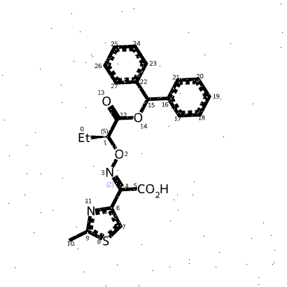 CC[C@H](O/N=C(\C(=O)O)c1csc(C)n1)C(=O)OC(c1ccccc1)c1ccccc1